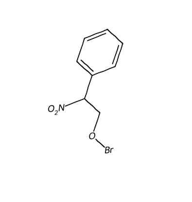 O=[N+]([O-])C(COBr)c1ccccc1